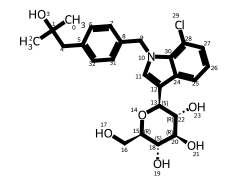 CC(C)(O)Cc1ccc(Cn2cc([C@@H]3O[C@H](CO)[C@@H](O)[C@H](O)[C@H]3O)c3cccc(Cl)c32)cc1